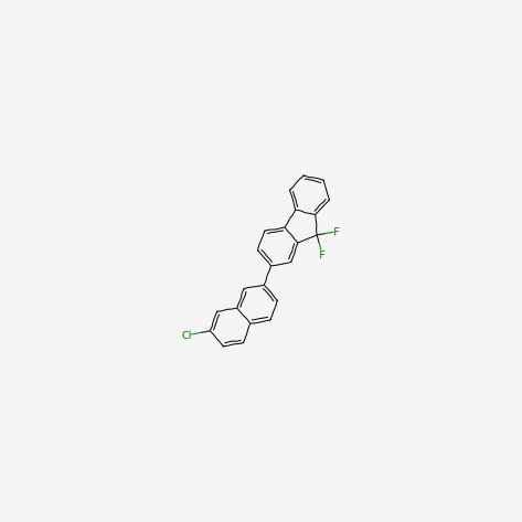 FC1(F)c2ccccc2-c2ccc(-c3ccc4ccc(Cl)cc4c3)cc21